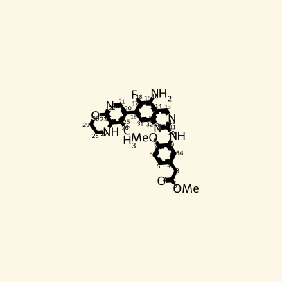 COC(=O)Cc1ccc(OC)c(Nc2ncc3c(N)c(F)c(-c4cnc5c(c4C)NCCO5)cc3n2)c1